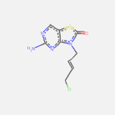 Nc1ncc2sc(=O)n(CC=CCCl)c2n1